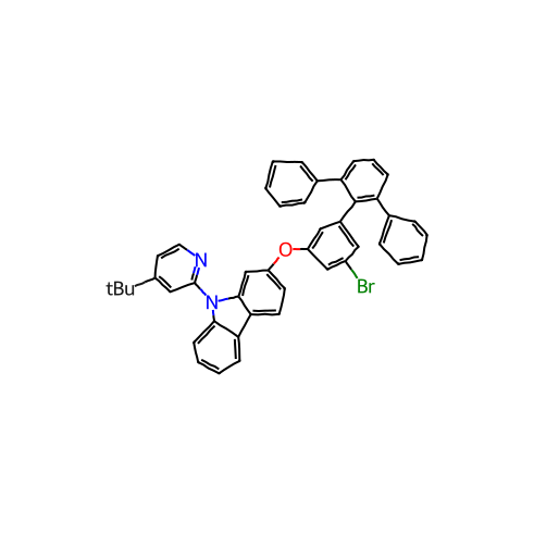 CC(C)(C)c1ccnc(-n2c3ccccc3c3ccc(Oc4cc(Br)cc(-c5c(-c6ccccc6)cccc5-c5ccccc5)c4)cc32)c1